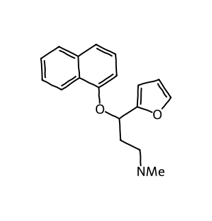 CNCCC(Oc1cccc2ccccc12)c1ccco1